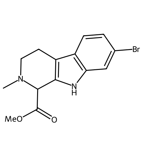 COC(=O)C1c2[nH]c3cc(Br)ccc3c2CCN1C